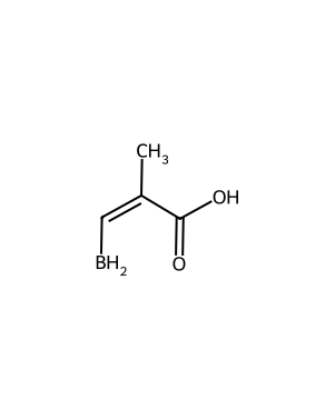 BC=C(C)C(=O)O